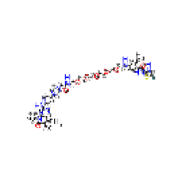 CC(=O)c1c(C)c2cnc(Nc3ccc(N4CCN(CC(=O)NCCOCCOCCOCCOCCOCCNc5ccc(C(=O)NC6NCC(F)S6)c(C)c5)CC4)cn3)nc2n(C2CCCC2)c1=O